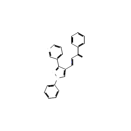 O=C(/C=C/c1cn(-c2ccccc2)nc1-c1cccnc1)c1ccccc1